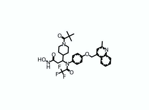 Cc1cc(COc2ccc(N(C(=O)C(F)(F)F)C(CC(=O)NO)C3CCN(C(=O)C(C)(C)C)CC3)cc2)c2ccccc2n1